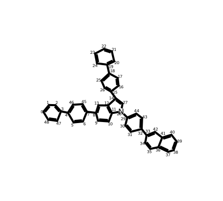 c1ccc(-c2ccc(-c3ccc4c(c3)c(-c3ccc(-c5ccccc5)cc3)cn4-c3ccc(-c4ccc5ccccc5c4)cc3)cc2)cc1